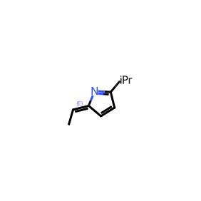 C/C=C1\C=CC(C(C)C)=N1